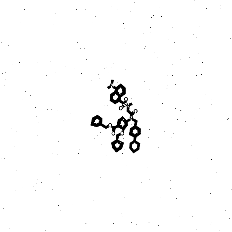 CN(C)c1cccc2c(S(=O)(=O)N(C)CC(=O)N(Cc3ccc(C4CCCCC4)cc3)c3ccc(C(=O)OCc4ccccc4)c(OCc4ccccc4)c3)cccc12